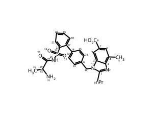 CCCc1nc2c(C)cc(C(=O)O)cc2n1Cc1ccc(-c2ccccc2S(=O)(=O)NC(=O)[C@H](C)N)cc1